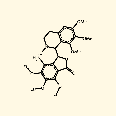 CCOc1c(N)c2c(c(OCC)c1OCC)C(=O)OC2C1c2c(cc(OC)c(OC)c2OC)CCN1C